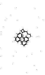 CCCCC1CCC1.c1cc2cccc3c4cccc5cccc(c(c1)c23)c54